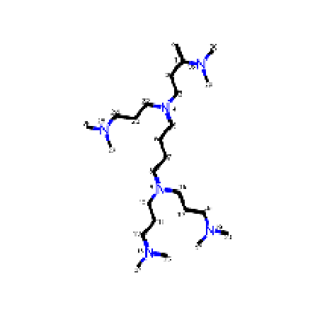 CC(CCN(CCCCN(CCCN(C)C)CCCN(C)C)CCCN(C)C)N(C)C